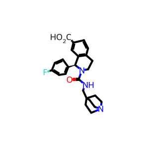 O=C(O)c1ccc2c(c1)[C@H](c1ccc(F)cc1)N(C(=O)NCC13CCN(CC1)CC3)CC2